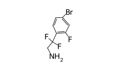 NCC(F)(F)c1ccc(Br)cc1F